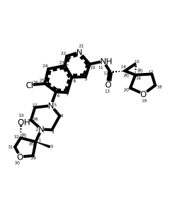 C[C@@]1(N2CCN(c3cc4cc(NC(=O)[C@@H]5C[C@@]56CCOC6)ncc4cc3Cl)CC2)COC[C@@H]1O